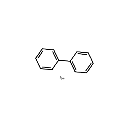 [2H].c1ccc(-c2ccccc2)cc1